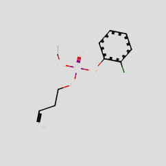 C=CCCOP(=O)(Oc1ccccc1Cl)OC(C)C